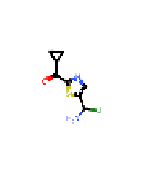 NC(Cl)c1cnc(C(=O)C2CC2)s1